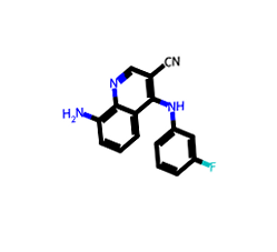 N#Cc1cnc2c(N)cccc2c1Nc1cccc(F)c1